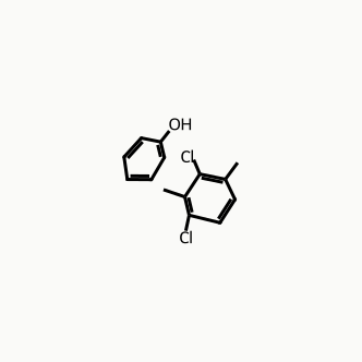 Cc1ccc(Cl)c(C)c1Cl.Oc1ccccc1